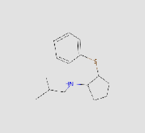 CC(C)CNC1CCCC1Sc1ccccc1